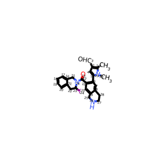 Cc1c(C=O)cc(-c2cc3c(cc2C(=O)N2Cc4ccccc4CC2I)CNCC3)n1C